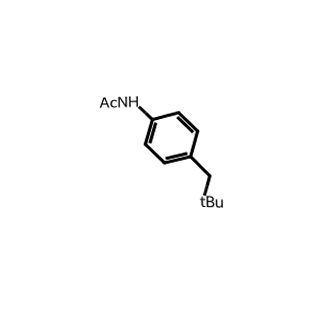 CC(=O)Nc1ccc(CC(C)(C)C)cc1